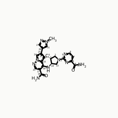 C[C@@H]1CN(c2nccc(C(N)=O)n2)C[C@H]1Nc1c(C(N)=O)cnn2cc(-c3cnn(C)c3)cc12